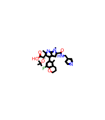 Cc1nc2c(cc(C(=O)NCc3ccncc3)n2C)c(-c2cc(F)c3c(c2C)CCCO3)c1[C@H](OC(C)(C)C)C(=O)O